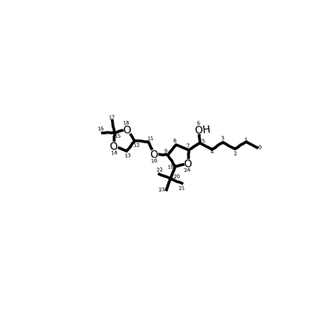 CCCCCC(O)C1CC(OCC2COC(C)(C)O2)C(C(C)(C)C)O1